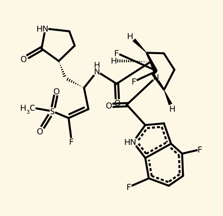 CS(=O)(=O)/C(F)=C\[C@H](C[C@H]1CCNC1=O)NC(=O)[C@H]1[C@@H]2CC[C@@H](CC2(F)F)N1C(=O)c1cc2c(F)ccc(F)c2[nH]1